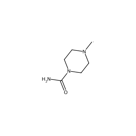 [CH2]N1CCN(C(N)=O)CC1